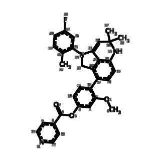 COc1cc(OC(=O)c2ccncc2)ccc1-c1ccc2c3c1CN(c1cc(F)ccc1C)C3=CC(C)(C)N2